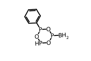 BP1OPOP(c2ccccc2)O1